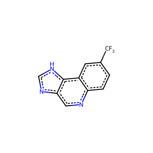 FC(F)(F)c1ccc2ncc3nc[nH]c3c2c1